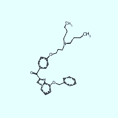 CCCCN(CCCC)CCCOc1ccc(C(=O)c2cn3cccc(OCc4ccccc4)c3n2)cc1